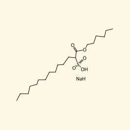 CCCCCCCCCCCCC(C(=O)OCCCCCC)S(=O)(=O)O.[NaH]